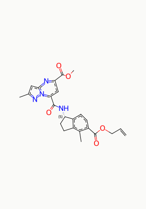 C=CCOC(=O)c1ccc2c(c1C)CC[C@@H]2NC(=O)c1cc(C(=O)OC)nc2cc(C)nn12